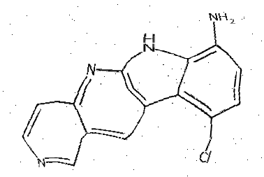 Nc1ccc(Cl)c2c1[nH]c1nc3ccncc3cc12